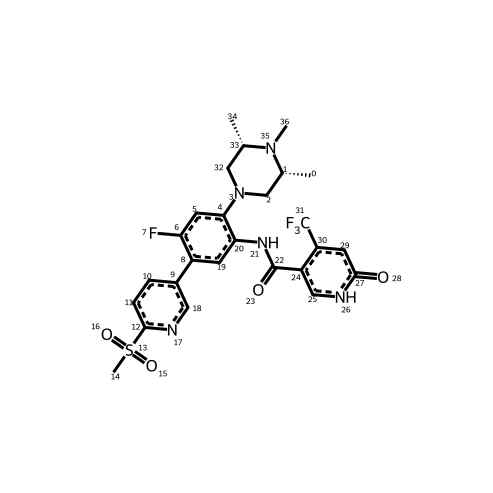 C[C@@H]1CN(c2cc(F)c(-c3ccc(S(C)(=O)=O)nc3)cc2NC(=O)c2c[nH]c(=O)cc2C(F)(F)F)C[C@H](C)N1C